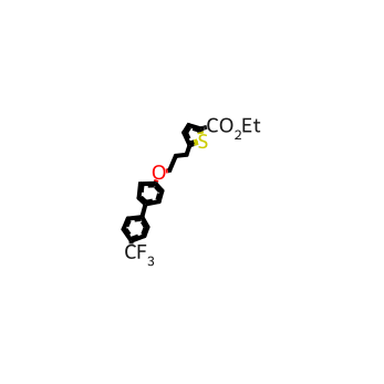 CCOC(=O)c1ccc(CCCOc2ccc(-c3ccc(C(F)(F)F)cc3)cc2)s1